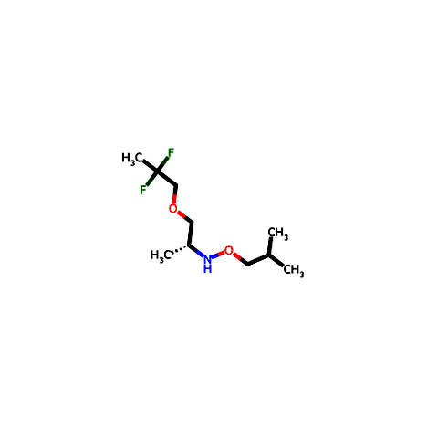 CC(C)CON[C@H](C)COCC(C)(F)F